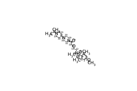 COc1cc(C)c(S(=O)(=O)N(C)CCOCC(=O)N2CCN(C3CCN(C(C)C)CC3)CC2)c(C)c1